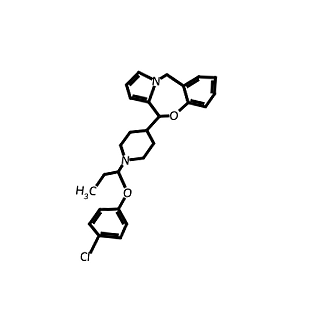 CCC(Oc1ccc(Cl)cc1)N1CCC(C2Oc3ccccc3Cn3cccc32)CC1